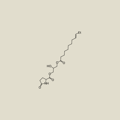 CCC=CCCCCCCCC(=O)OCC(O)COC(=O)C1CCC(=O)N1